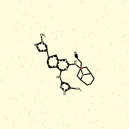 Cc1cc(Nc2nc(NC3CC4CCCC(C3)N4CCC#N)nc3cc(-c4cnn(C)c4)ccc23)n[nH]1